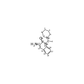 CC(N1CCCCC1)n1c(=O)c(N)cc2ccccc21